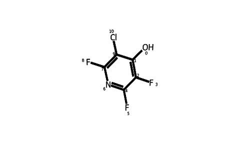 Oc1c(F)c(F)nc(F)c1Cl